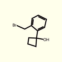 OC1(c2ccccc2CBr)CCC1